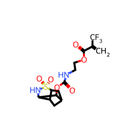 C=C(C(=O)OCCNC(=O)OC1C2CC3C1NS(=O)(=O)C3C2)C(F)(F)F